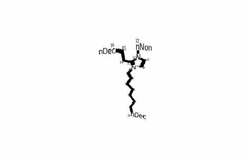 CCCCCCCCCCCCCCCCC[n+]1ccn(CCCCCCCCC)c1CCCCCCCCCCCC